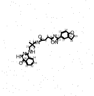 CC(C)(CNC(=O)CCc1nc(-c2ccc3c(c2)CCO3)no1)CNc1n[nH]c(=O)c2ccccc12